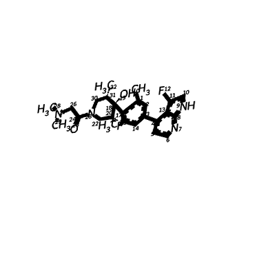 Cc1cc(-c2ccnc3[nH]cc(F)c23)cc(F)c1[C@@]1(O)[C@H](C)CN(C(=O)CN(C)C)C[C@@H]1C